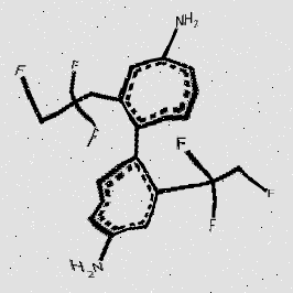 Nc1ccc(-c2ccc(N)cc2C(F)(F)CF)c(C(F)(F)CF)c1